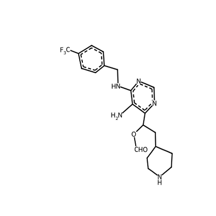 Nc1c(NCc2ccc(C(F)(F)F)cc2)ncnc1C(CC1CCNCC1)OC=O